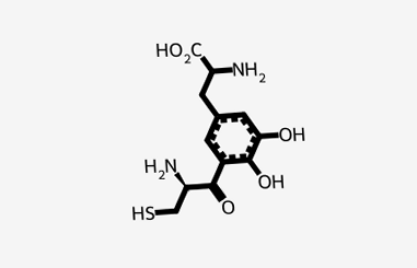 NC(Cc1cc(O)c(O)c(C(=O)[C@H](N)CS)c1)C(=O)O